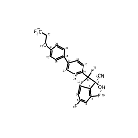 N#C[C@](O)(c1ccc(F)cc1F)C(F)(F)c1ccc(-c2ccc(OCC(F)(F)F)cc2)cn1